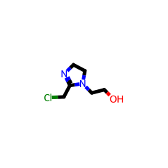 OCCN1CCN=C1CCl